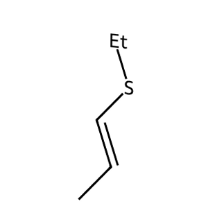 [CH2]CSC=CC